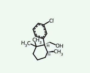 C[C@H]1CCCC(C)(C)[C@@]1(CO)c1cccc(Cl)c1